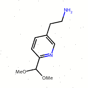 COC(OC)c1ccc(CCN)cn1